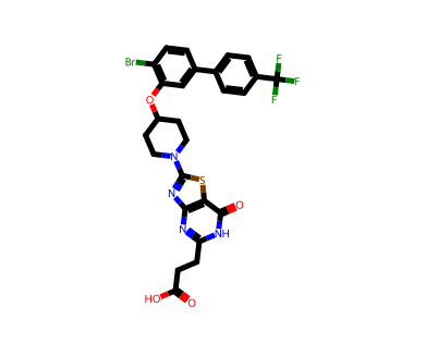 O=C(O)CCc1nc2nc(N3CCC(Oc4cc(-c5ccc(C(F)(F)F)cc5)ccc4Br)CC3)sc2c(=O)[nH]1